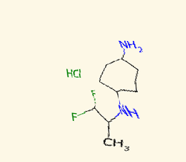 CC(NC1CCC(N)CC1)C(F)F.Cl